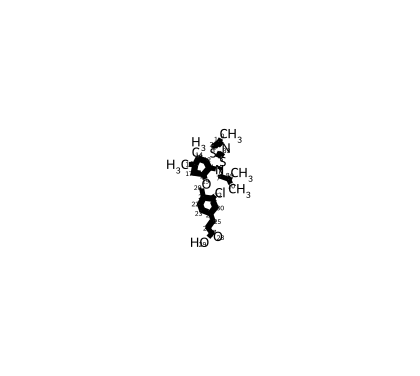 Cc1csc(SN(CC(C)C)c2cc(C)c(C)cc2OCc2ccc(/C=C/C(=O)O)cc2Cl)n1